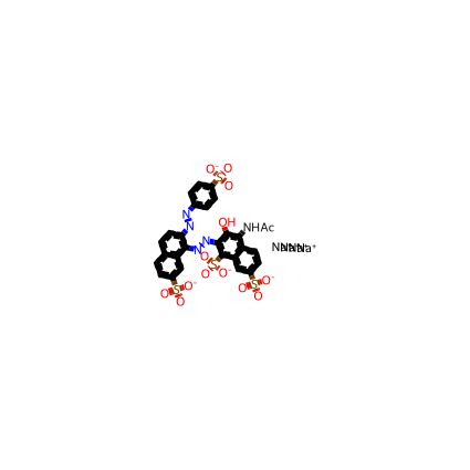 CC(=O)Nc1c(O)c(N=Nc2c(N=Nc3ccc(S(=O)(=O)[O-])cc3)ccc3ccc(S(=O)(=O)[O-])cc23)c(S(=O)(=O)[O-])c2cc(S(=O)(=O)[O-])ccc12.[Na+].[Na+].[Na+].[Na+]